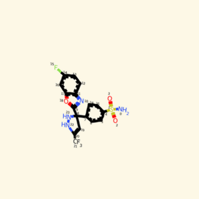 NS(=O)(=O)c1ccc(C2(c3nc4ccc(F)cc4o3)C=C(C(F)(F)F)NN2)cc1